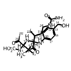 CC(C)(I)C(NC(=O)O)(NC(Nc1ccc(CO)cc1)(C(=O)I)C(I)CCNC(N)=O)C(=O)I